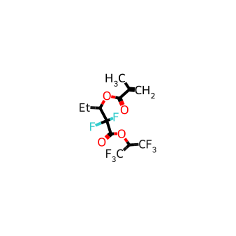 C=C(C)C(=O)OC(CC)C(F)(F)C(=O)OC(C(F)(F)F)C(F)(F)F